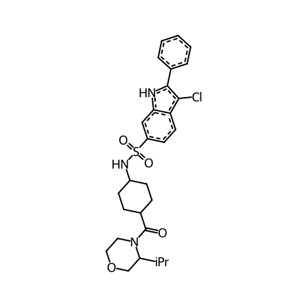 CC(C)C1COCCN1C(=O)C1CCC(NS(=O)(=O)c2ccc3c(Cl)c(-c4ccccc4)[nH]c3c2)CC1